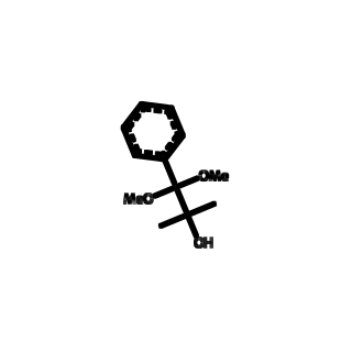 COC(OC)(c1ccccc1)C(C)(C)O